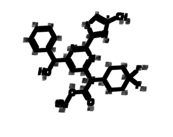 Cc1csc(-c2nc(C(O)c3ccccc3)cc(N(C(=O)OC(C)(C)C)C3CCC(F)(F)CC3)n2)n1